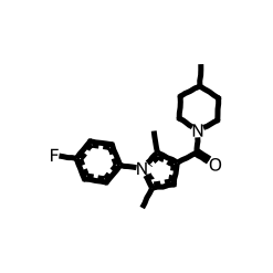 Cc1cc(C(=O)N2CCC(C)CC2)c(C)n1-c1ccc(F)cc1